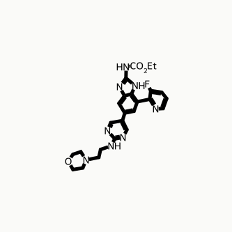 CCOC(=O)Nc1nc2cc(-c3cnc(NCCN4CCOCC4)nc3)cc(-c3ncccc3F)c2[nH]1